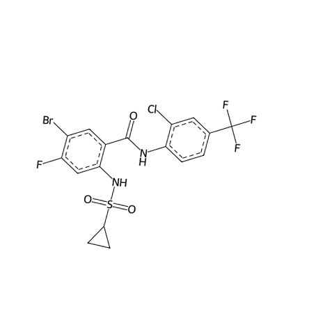 O=C(Nc1ccc(C(F)(F)F)cc1Cl)c1cc(Br)c(F)cc1NS(=O)(=O)C1CC1